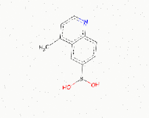 Cc1ccnc2ccc(B(O)O)cc12